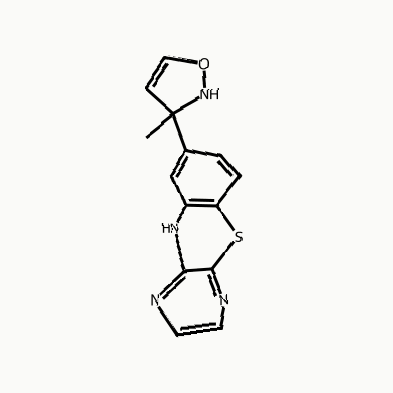 CC1(c2ccc3c(c2)Nc2nccnc2S3)C=CON1